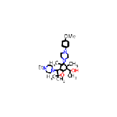 CCN1CCN(C2c3c(C)c(N4CCN(c5ccc(OC)cc5)CC4)c(C)c(C(C)O)c3OC2(C)C)CC1